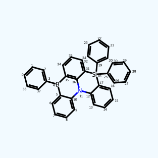 c1ccc(B2c3ccccc3N3c4ccccc4[Si](c4ccccc4)(c4ccccc4)c4cccc2c43)cc1